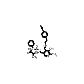 Cc1ncc(COP(=O)(NC(C)C(=O)O)Oc2ccccc2)c(/C=N/CCc2ccc(C#N)cc2)c1O